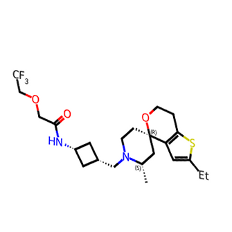 CCc1cc2c(s1)CCO[C@@]21CCN(C[C@H]2C[C@@H](NC(=O)COCC(F)(F)F)C2)[C@@H](C)C1